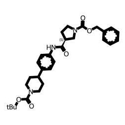 CC(C)(C)OC(=O)N1CCC(c2ccc(NC(=O)[C@H]3CCN(C(=O)OCc4ccccc4)C3)cc2)CC1